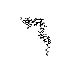 CCCCCCOc1ccc(-c2ccc(C(=O)OC3CCN(c4cccc5c6c(ccc45)NC4(CO6)N(CCCC)c5ccc(OC)cc5C4(C)CC)CC3)cc2)cc1